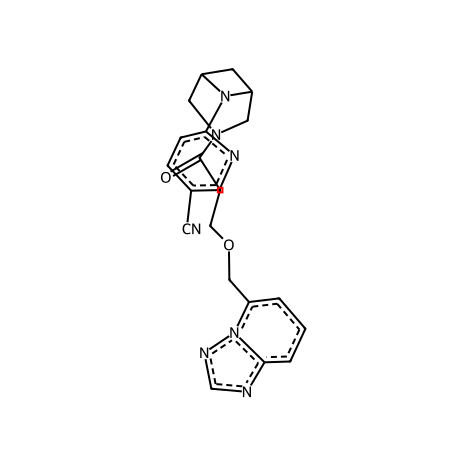 N#Cc1ccc(N2C3CC2CN(C(=O)CCOCc2cccc4ncnn24)C3)nc1